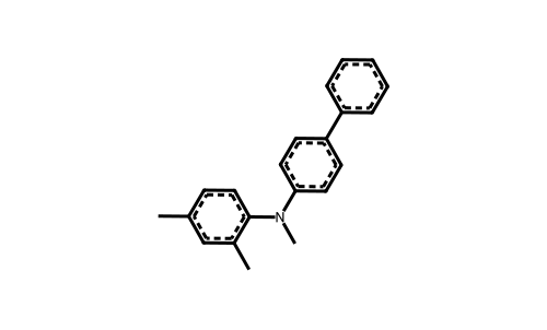 Cc1ccc(N(C)c2ccc(-c3ccccc3)cc2)c(C)c1